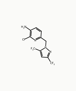 Nc1ccc(Cn2nc(C(F)(F)F)cc2C(F)(F)F)nc1Cl